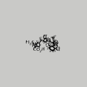 Cn1nc(C(=O)O)c2ccc([C@H]3C[C@@H]3c3ccc(OCc4c(-c5c(Cl)cccc5Cl)noc4C4CC4)cc3Cl)cc21